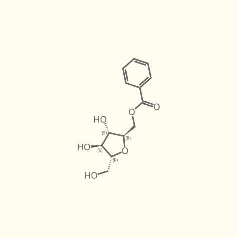 O=C(OC[C@H]1O[C@H](CO)[C@@H](O)[C@@H]1O)c1ccccc1